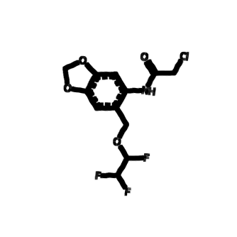 O=C(CCl)Nc1cc2c(cc1COC(F)C(F)F)OCO2